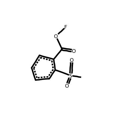 CS(=O)(=O)c1ccccc1C(=O)OF